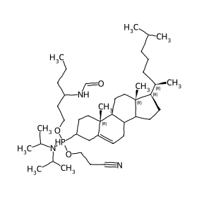 CCCC(CCO[PH](OCCC#N)(C1CC[C@@]2(C)C(=CCC3C2CC[C@@]2(C)C3CC[C@@H]2[C@H](C)CCCC(C)C)C1)N(C(C)C)C(C)C)NC=O